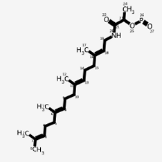 CC(C)=CCC/C(C)=C/CC/C(C)=C/CC/C(C)=C/CNC(=O)C(C)OP=O